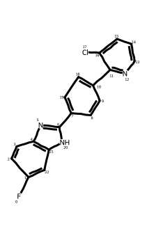 Fc1ccc2nc(-c3ccc(-c4ncccc4Cl)cc3)[nH]c2c1